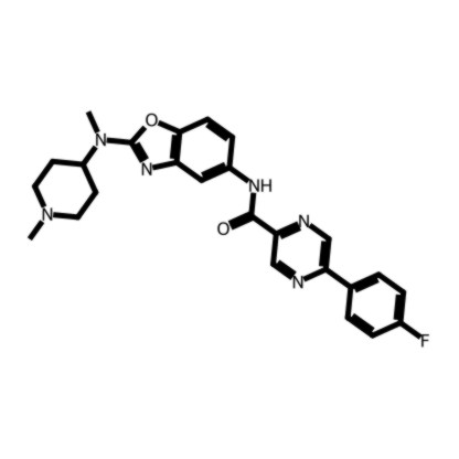 CN1CCC(N(C)c2nc3cc(NC(=O)c4cnc(-c5ccc(F)cc5)cn4)ccc3o2)CC1